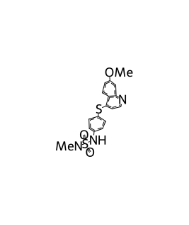 CNS(=O)(=O)Nc1ccc(Sc2ccnc3cc(OC)ccc23)cc1